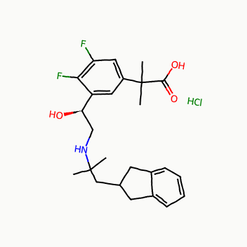 CC(C)(CC1Cc2ccccc2C1)NC[C@@H](O)c1cc(C(C)(C)C(=O)O)cc(F)c1F.Cl